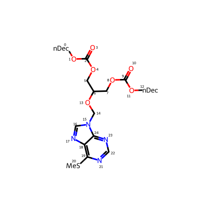 CCCCCCCCCCOC(=O)OCC(COC(=O)OCCCCCCCCCC)OCn1cnc2c(SC)ncnc21